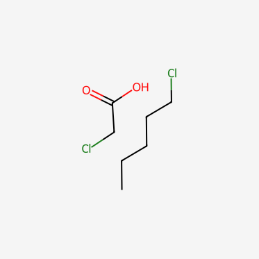 CCCCCCl.O=C(O)CCl